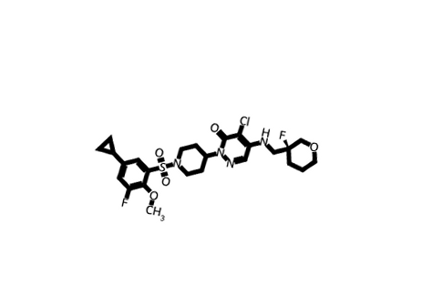 COc1c(F)cc(C2CC2)cc1S(=O)(=O)N1CCC(n2ncc(NC[C@@]3(F)CCCOC3)c(Cl)c2=O)CC1